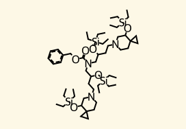 CC[Si](CC)(CC)OC(CCN1CCC2(CC2)C(O[Si](CC)(CC)CC)C1)CN(CC(CCN1CCC2(CC2)C(O[Si](CC)(CC)CC)C1)O[Si](CC)(CC)CC)C(=O)OCc1ccccc1